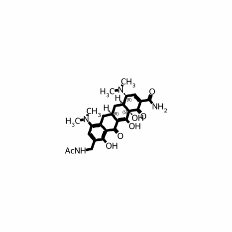 CC(=O)NCc1cc(N(C)C)c2c(c1O)C(=O)C1=C(O)[C@]3(O)C(=O)C(C(N)=O)=C[C@@H](N(C)C)[C@@H]3C[C@@H]1C2